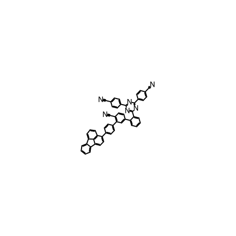 N#Cc1ccc(-c2nc(-c3ccc(C#N)cc3)nc(-c3ccccc3-c3ccc(C#N)c(-c4ccc(-c5ccc6c7c(cccc57)-c5ccccc5-6)cc4)c3)n2)cc1